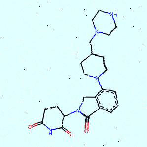 O=C1CCC(N2Cc3c(cccc3N3CCC(CN4CCNCC4)CC3)C2=O)C(=O)N1